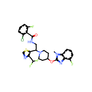 Cn1c(OC2CCN(C(CNC(=O)c3c(F)cccc3Cl)c3scnc3C(F)F)CC2)nc2c(F)cccc21